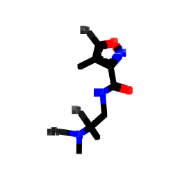 CCCN(C)C(C)(CC)CNC(=O)c1noc(CC)c1C